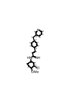 COc1ccc(NC(=N)/C=C/c2ccc(Cc3cccnc3)cc2)cc1Cl